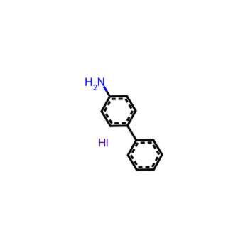 I.Nc1ccc(-c2ccccc2)cc1